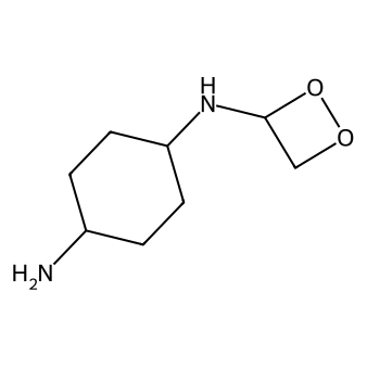 NC1CCC(NC2COO2)CC1